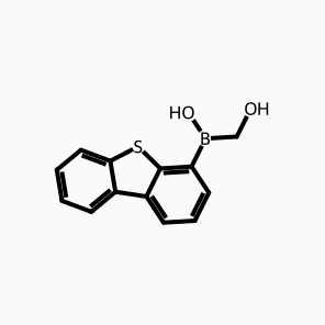 OCB(O)c1cccc2c1sc1ccccc12